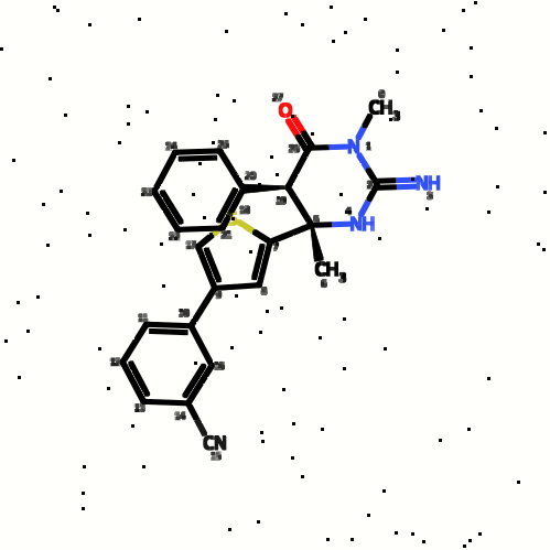 CN1C(=N)N[C@](C)(c2cc(-c3cccc(C#N)c3)cs2)[C@@H](c2ccccc2)C1=O